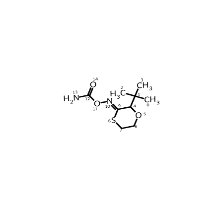 CC(C)(C)C1OCCSC1=NOC(N)=O